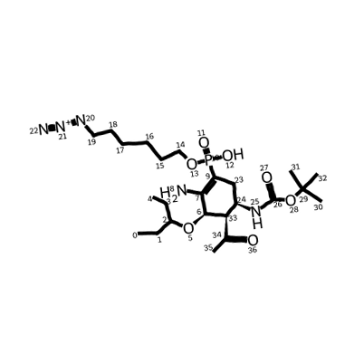 CCC(CC)O[C@H]1C(N)=C(P(=O)(O)OCCCCCCN=[N+]=[N-])C[C@@H](NC(=O)OC(C)(C)C)[C@H]1C(C)=O